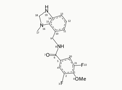 COc1c(F)cc(C(=O)NCc2cccc3c2N(C)CN3)cc1F